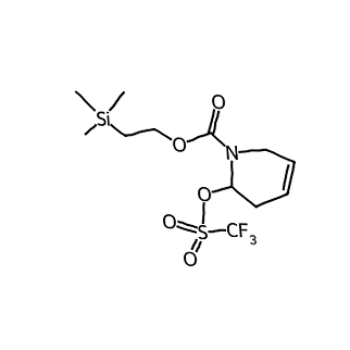 C[Si](C)(C)CCOC(=O)N1CC=CCC1OS(=O)(=O)C(F)(F)F